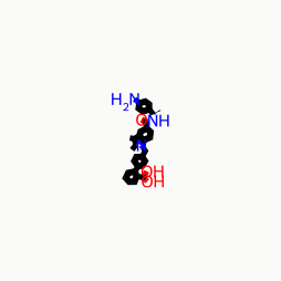 Cc1c(C)n(Cc2ccc(-c3ccccc3C(O)O)cc2)c2ccc(C(=O)N[C@@H](C)c3ccc(N)cc3)cc12